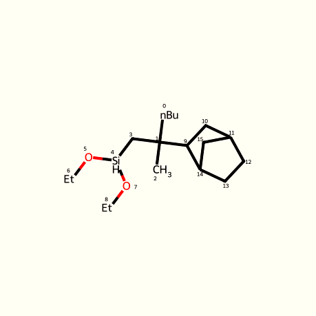 CCCCC(C)(C[SiH](OCC)OCC)C1CC2CCC1C2